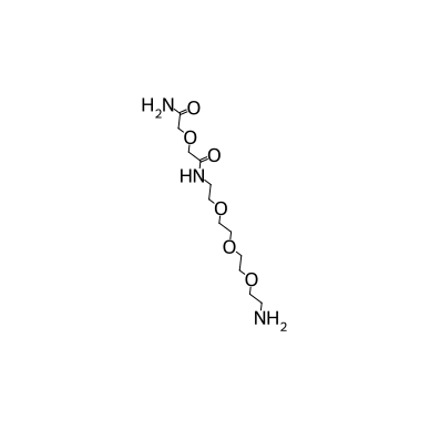 NCCOCCOCCOCCNC(=O)COCC(N)=O